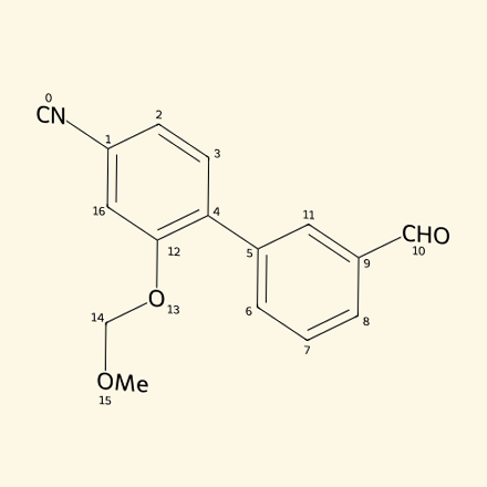 [C-]#[N+]c1ccc(-c2cccc(C=O)c2)c(OCOC)c1